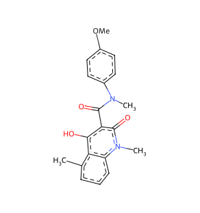 COc1ccc(N(C)C(=O)c2c(O)c3c(C)cccc3n(C)c2=O)cc1